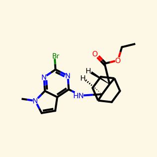 CCOC(=O)[C@@H]1C2CCC(CC2)[C@H]1Nc1nc(Br)nc2c1ccn2C